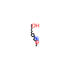 C=CCOc1ccc(-c2ccc(/C=C/CCCC(C)O)cc2)nn1